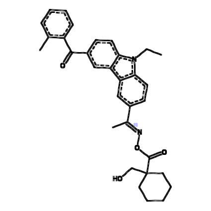 CCn1c2ccc(C(=O)c3ccccc3C)cc2c2cc(/C(C)=N/OC(=O)C3(CO)CCCCC3)ccc21